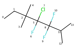 CCC(C)(C)C(F)(Cl)C(F)(F)C(C)C